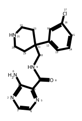 Nc1nccnc1C(=O)NCC1(c2cccc(Cl)c2)CCNCC1